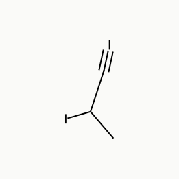 CC(I)C#I